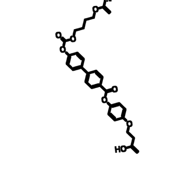 C=C(O)CCOc1ccc(OC(=O)c2ccc(-c3ccc(OC(=O)OCCCCOC(=C)CC)cc3)cc2)cc1